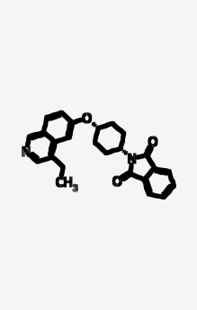 CCc1cncc2ccc(O[C@H]3CC[C@@H](N4C(=O)c5ccccc5C4=O)CC3)cc12